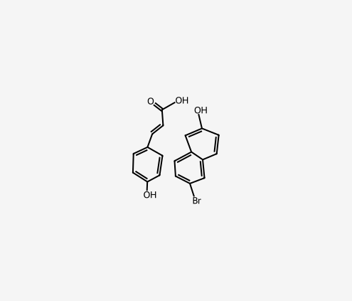 O=C(O)/C=C/c1ccc(O)cc1.Oc1ccc2cc(Br)ccc2c1